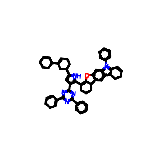 C1=CC(c2nc(-c3ccccc3)nc(-c3cc(C4CCC=C(C5C=CCCC5)C4)[nH]c3C3=C4Oc5cc6c(cc5C4CCC3)c3c(n6-c4ccccc4)C=CCC3)n2)=CCC1